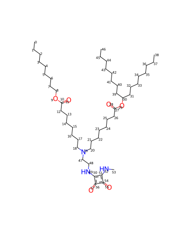 CCCCCCCCCOC(=O)CCCCCCCN(CCCCCCCC(=O)OC(CCCCCCCC)CCCCCCCC)CCNc1c(NC)c(=O)c1=O